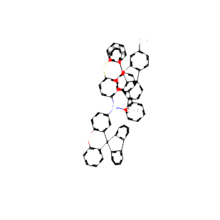 CC(C)(C)c1ccc2c(c1)C1(c3ccccc3Sc3ccc(N(c4ccc5c(c4)C4(c6ccccc6O5)c5ccccc5-c5ccccc54)c4ccccc4-c4ccc(-c5ccccc5)cc4)cc31)c1cc(C(C)(C)C)ccc1-2